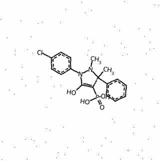 CN1N(c2ccc(Cl)cc2)C(O)=C(P(=O)(O)O)C1(C)c1ccccc1